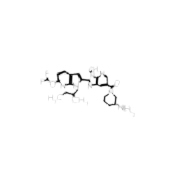 CCC(C)Cn1c(-c2nc3cc(C(=O)N4CCC[C@@H](N)C4)cnc3n2C)cc2ccc(OC(F)F)nc21